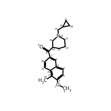 COc1ccc2cc(C(=O)C3CCCN(CC4CC4)C3)ccc2c1C